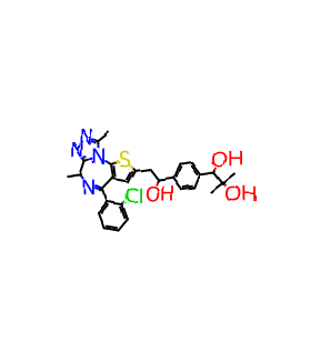 Cc1nnc2n1-c1sc(CC(O)c3ccc(C(O)C(C)(C)O)cc3)cc1C(c1ccccc1Cl)=NC2C